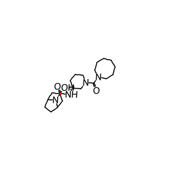 O=C(N1CCCCCCC1)N1CCC[C@H](NC(=O)N2C3CCC2CC(O)C3)C1